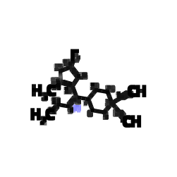 C#CC1(C#C)CCC(/C(=C/C=C)C2=C(C)CC(F)=C2)CC1